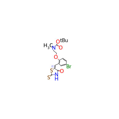 CN(CCOc1ccc(Br)cc1/C=C1/SC(=S)NC1=O)C(=O)OC(C)(C)C